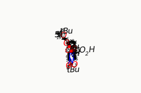 CC(C)(C)OC(=O)N1CC2CC(c3cccc(OCCO[Si](C)(C)C(C)(C)C)c3)=C(C(=O)O)[C@@H](C1)N2C(=O)OC(C)(C)C